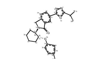 O=C1c2cc(-c3nnc(C(F)F)o3)cnc2CN1[C@@H]1CCCC[C@H]1Oc1ccc(F)cc1